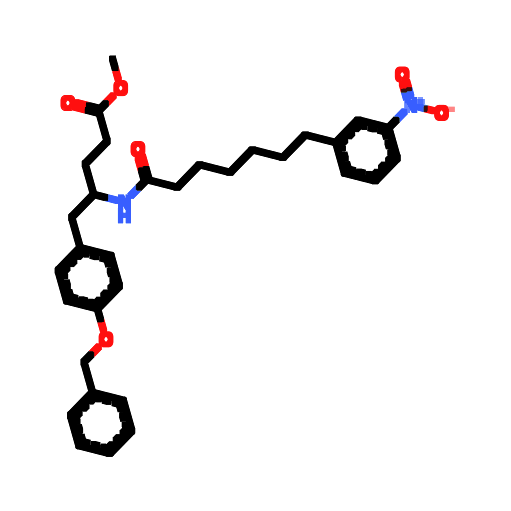 COC(=O)CCC(Cc1ccc(OCc2ccccc2)cc1)NC(=O)CCCCCCc1cccc([N+](=O)[O-])c1